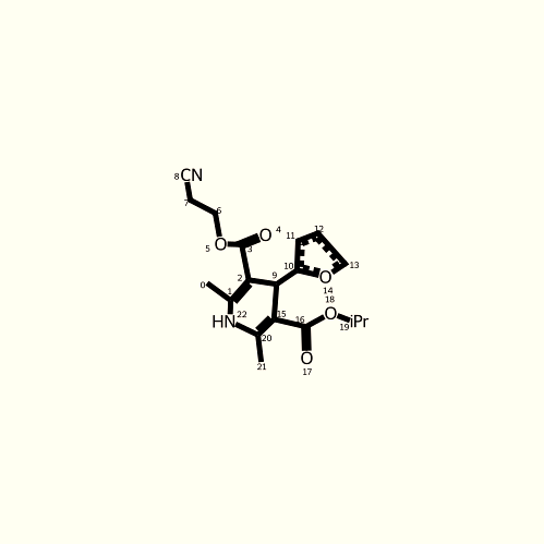 CC1=C(C(=O)OCCC#N)C(c2ccco2)C(C(=O)OC(C)C)=C(C)N1